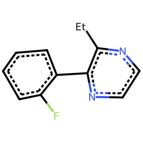 CCc1nccnc1-c1ccccc1F